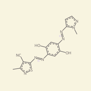 Cc1nsc(/N=N/c2cc(O)c(/N=N/c3ccnn3C)cc2O)c1C#N